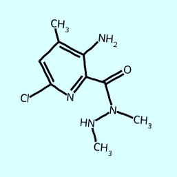 CNN(C)C(=O)c1nc(Cl)cc(C)c1N